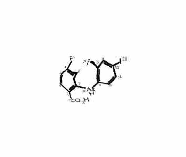 O=C(O)c1ccc(F)cc1[AsH]c1ccc(I)cc1F